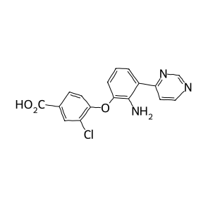 Nc1c(Oc2ccc(C(=O)O)cc2Cl)cccc1-c1ccncn1